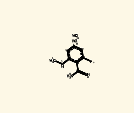 CNc1cccc(F)c1C(=N)N.Cl.Cl